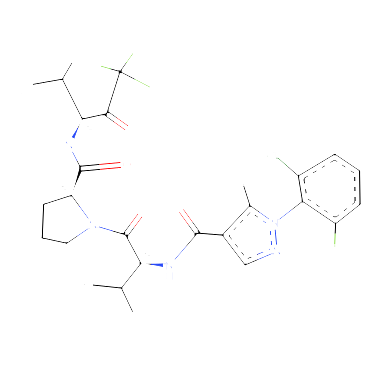 Cc1c(C(=O)N[C@H](C(=O)N2CCC[C@H]2C(=O)N[C@H](C(=O)C(F)(F)F)C(C)C)C(C)C)cnn1-c1c(F)cccc1Cl